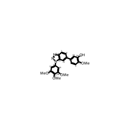 COc1ccc(-c2ccc3nnn(-c4cc(OC)c(OC)c(OC)c4)c3c2)cc1O